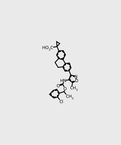 Cc1onc(-c2ccc3c(c2)CCc2cc(C4(C(=O)O)CC4)ccc2-3)c1NC(=O)OC(C)c1ccccc1Cl